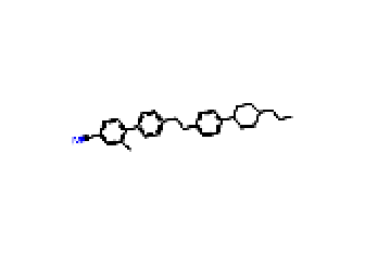 CCCC1CCC(c2ccc(CCc3ccc(-c4ccc(C#N)cc4C)cc3)cc2)CC1